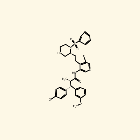 C[C@H](C(=O)Nc1cncc(F)c1CC[C@H]1CNCCN1S(=O)(=O)c1ccccc1)[C@@H](c1ccc(Cl)cc1)c1cccc(OC(F)(F)F)c1